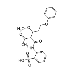 COC(CCOc1ccccc1)C(C(C)=O)C(=O)Nc1ccccc1S(=O)(=O)O